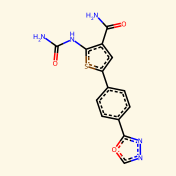 NC(=O)Nc1sc(-c2ccc(-c3nnco3)cc2)cc1C(N)=O